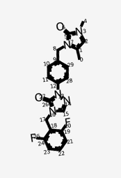 Cc1cn(C)c(=O)n1Cc1ccc(-n2ncn(Cc3c(F)cccc3F)c2=O)cc1